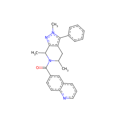 CC1Cc2c(nn(C)c2-c2ccccc2)C(C)N1C(=O)c1ccc2ncccc2c1